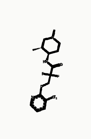 C[C@@H]1CN(C)CC[C@H]1NC(=O)C(F)(F)COc1ncccc1C(F)(F)F